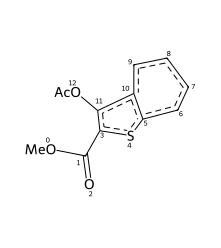 COC(=O)c1sc2ccccc2c1OC(C)=O